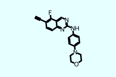 C#Cc1ccc2nc(Nc3ccc(N4CCOCC4)cc3)ncc2c1F